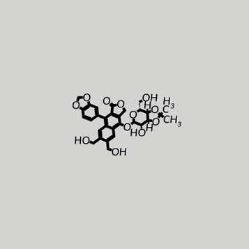 CC1(C)O[C@@H]2[C@H](O1)[C@@H](O)C(Oc1c3c(c(-c4ccc5c(c4)OCO5)c4cc(CO)c(CO)cc14)C(=O)OC3)O[C@@H]2CO